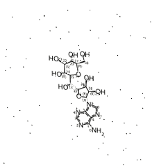 Nc1ncnc2c1ncn2[C@@H]1O[C@H](C(O)C2O[C@H](CO)[C@@H](O)[C@H](O)[C@H]2O)[C@@H](O)[C@H]1O